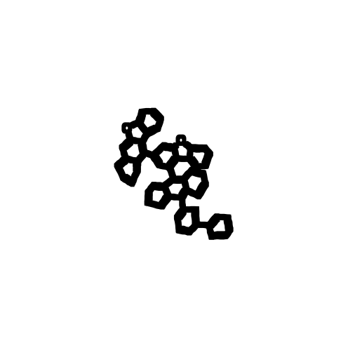 c1ccc(-c2cccc(-c3c4ccccc4c(-c4cc(-c5c6ccccc6cc6oc7ccccc7c56)cc5oc6ccccc6c45)c4ccccc34)c2)cc1